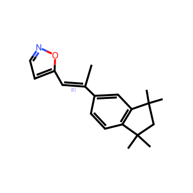 C/C(=C\c1ccno1)c1ccc2c(c1)C(C)(C)CC2(C)C